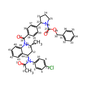 CC(=O)N(c1ccc(Cl)cc1)[C@@H]1C[C@H](C)N(C(=O)c2ccc(C3CCCN3C(=O)OCc3ccccc3)cc2)c2ccccc21